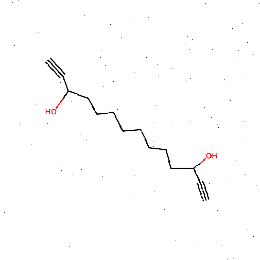 C#CC(O)CCCCCCCCC(O)C#C